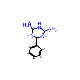 NC1NC(N)NC(c2ccccc2)N1